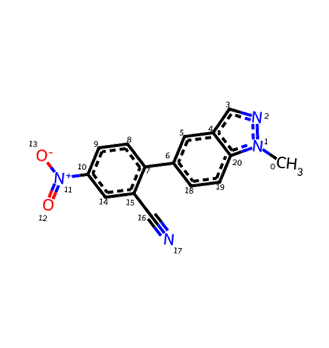 Cn1ncc2cc(-c3ccc([N+](=O)[O-])cc3C#N)ccc21